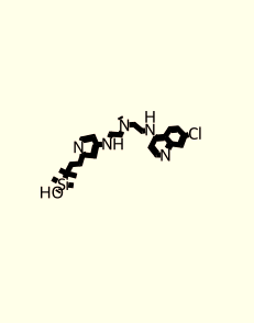 CN(CCNc1ccnc(CCC(C)(C)[Si](C)(C)O)c1)CCNc1ccnc2cc(Cl)ccc12